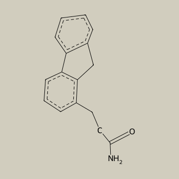 NC(=O)CCc1cccc2c1Cc1ccccc1-2